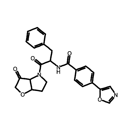 O=C(NC(Cc1ccccc1)C(=O)N1CCC2OCC(=O)C21)c1ccc(-c2cnco2)cc1